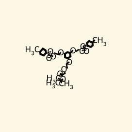 Cc1ccc(S(=O)(=O)OCCOc2cc(OCCOCC(=O)OC(C)(C)C)cc(OCCOS(=O)(=O)c3ccc(C)cc3)c2)cc1